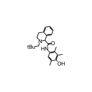 Cc1cc(NC(=O)C2c3ccccc3CCN2CC(C)(C)C)c(C)c(C)c1O